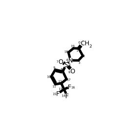 C=C1CCN(S(=O)(=O)C2=CC=CC(C(F)(F)F)C2)CC1